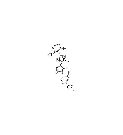 Cc1c(-c2nc(-c3c(F)cccc3Cl)nn2C)csc1-c1ccc(C(F)(F)F)cc1F